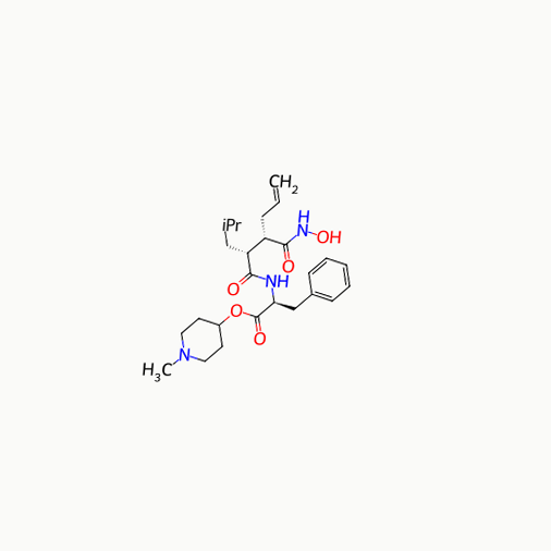 C=CC[C@H](C(=O)NO)[C@@H](CC(C)C)C(=O)N[C@@H](Cc1ccccc1)C(=O)OC1CCN(C)CC1